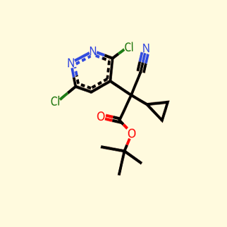 CC(C)(C)OC(=O)C(C#N)(c1cc(Cl)nnc1Cl)C1CC1